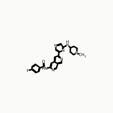 CN1CCC(Nc2cncc(-c3cc4cc(NC(=O)c5ccc(F)cc5)ncc4cn3)n2)CC1